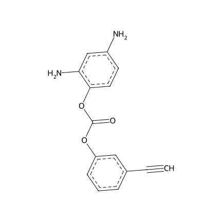 C#Cc1cccc(OC(=O)Oc2ccc(N)cc2N)c1